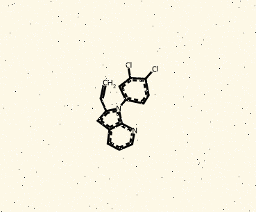 C=Cc1cc2cccnc2n1-c1ccc(Cl)c(Cl)c1